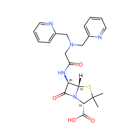 CC1(C)S[C@H]2[C@H](NC(=O)CN(Cc3ccccn3)Cc3ccccn3)C(=O)N2[C@H]1C(=O)O